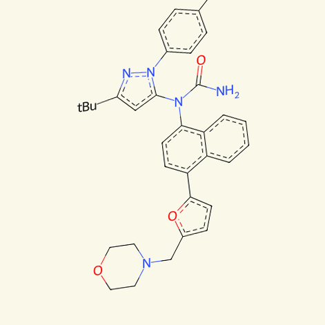 Cc1ccc(-n2nc(C(C)(C)C)cc2N(C(N)=O)c2ccc(-c3ccc(CN4CCOCC4)o3)c3ccccc23)cc1